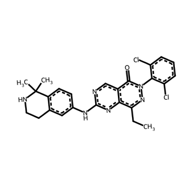 CCc1nn(-c2c(Cl)cccc2Cl)c(=O)c2cnc(Nc3ccc4c(c3)CCNC4(C)C)nc12